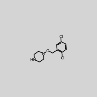 Clc1ccc(Cl)c(CON2CCNCC2)c1